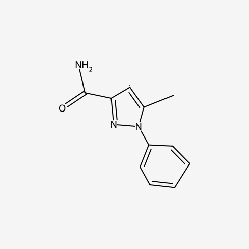 Cc1[c]c(C(N)=O)nn1-c1ccccc1